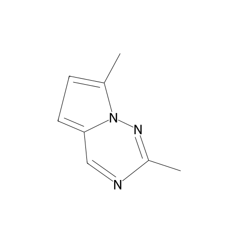 Cc1ncc2ccc(C)n2n1